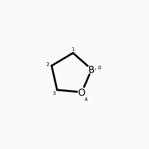 [B]1CCCO1